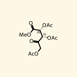 COC(=O)[C@H](OC(C)=O)[C@H](OC(C)=O)C(=O)COC(C)=O